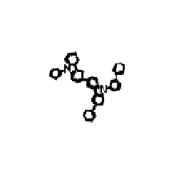 C1=CCCC(c2ccc3c(c2)c2cc(-c4ccc5c(c4)c4ccccc4n5-c4ccccc4)ccc2n3-c2cccc(C3=CCCC=C3)c2)=C1